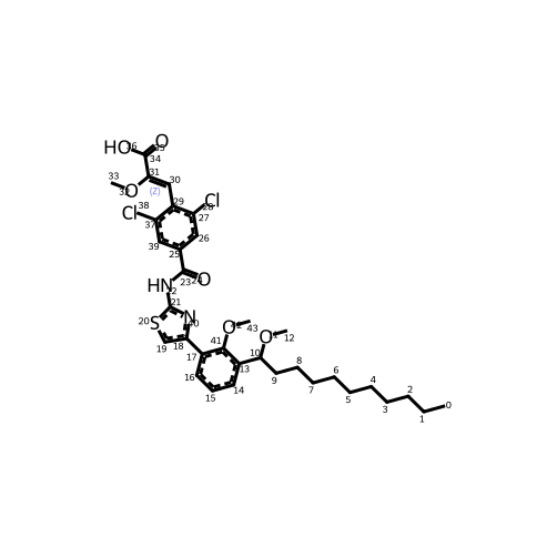 CCCCCCCCCCC(OC)c1cccc(-c2csc(NC(=O)c3cc(Cl)c(/C=C(\OC)C(=O)O)c(Cl)c3)n2)c1OC